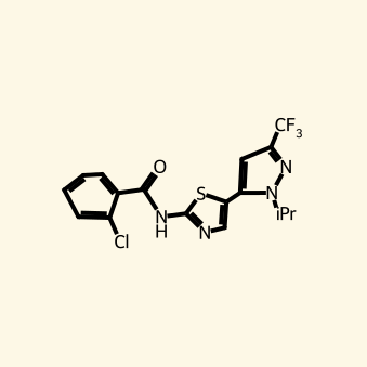 CC(C)n1nc(C(F)(F)F)cc1-c1cnc(NC(=O)c2ccccc2Cl)s1